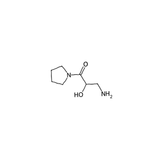 NCC(O)C(=O)N1CCCC1